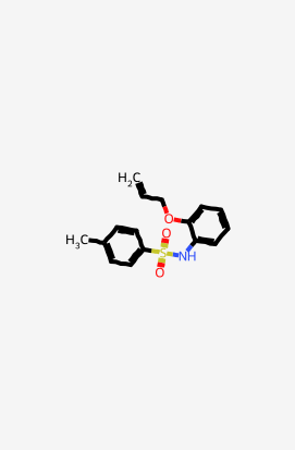 C=CCOc1ccccc1NS(=O)(=O)c1ccc(C)cc1